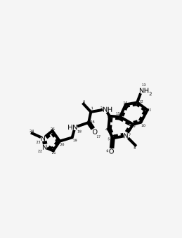 CC(Nc1cc(=O)n(C)c2ccc(N)cc12)C(=O)NCc1cnn(C)c1